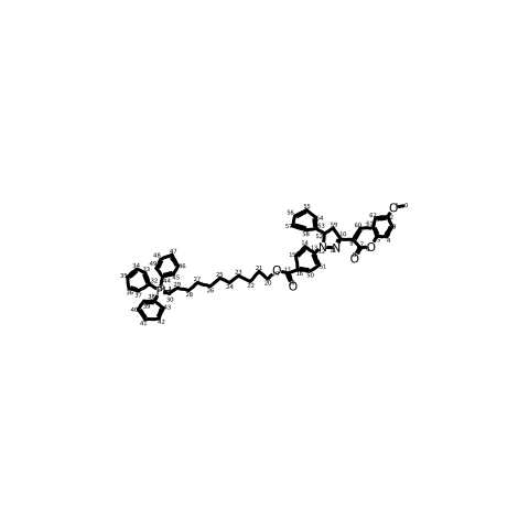 COc1ccc2oc(=O)c(C3=NN(c4ccc(C(=O)OCCCCCCCCCCC[PH](c5ccccc5)(c5ccccc5)c5ccccc5)cc4)C(c4ccccc4)C3)cc2c1